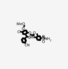 COCOc1cc(OCC(=O)Nc2ccc(S(N)(=O)=O)cc2C)c(C(=O)c2cccc(C#N)c2)cc1Cl